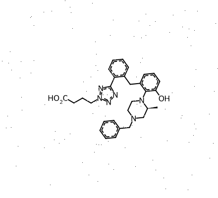 C[C@H]1CN(Cc2ccccc2)CCN1c1c(O)cccc1Cc1ccccc1-c1nnn(CCCC(=O)O)n1